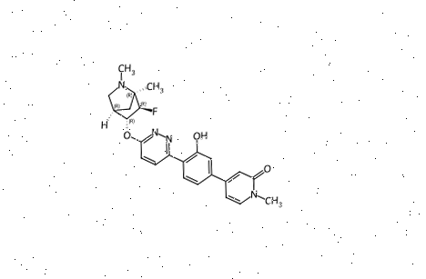 CN1C[C@H]2C[C@]1(C)[C@@H](F)[C@@H]2Oc1ccc(-c2ccc(-c3ccn(C)c(=O)c3)cc2O)nn1